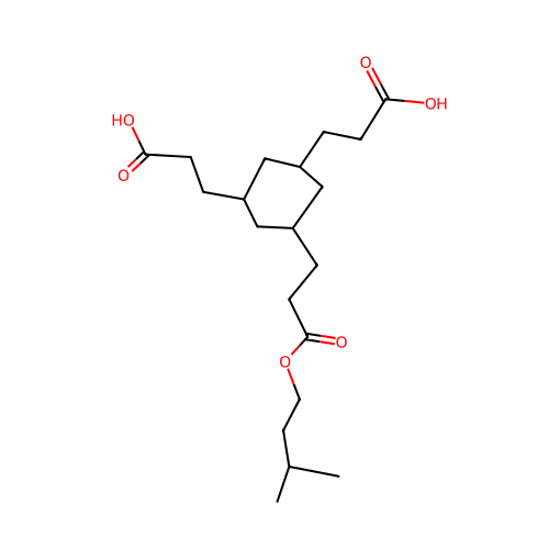 CC(C)CCOC(=O)CCC1CC(CCC(=O)O)CC(CCC(=O)O)C1